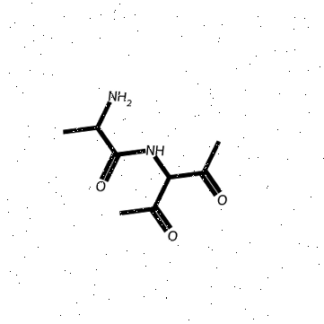 CC(=O)C(NC(=O)C(C)N)C(C)=O